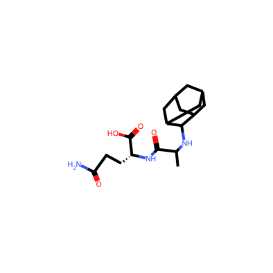 CC(NC1C2CC3CC(C2)CC1C3)C(=O)N[C@H](CCC(N)=O)C(=O)O